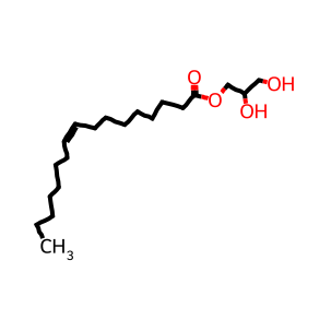 CCCCCCC/C=C\CCCCCCCC(=O)OCC(O)CO